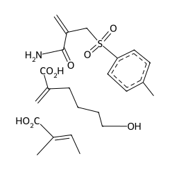 C=C(CCCCO)C(=O)O.C=C(CS(=O)(=O)c1ccc(C)cc1)C(N)=O.CC=C(C)C(=O)O